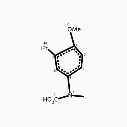 COc1ccc(N(C)C(=O)O)cc1C(C)C